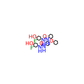 O=C(Nc1ccc(Oc2ccccc2)cc1)Nc1ccc(O)c(F)c1.O=C(Nc1ccccc1)Nc1ccc(O)c(F)c1